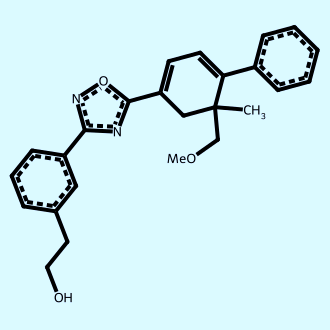 COCC1(C)CC(c2nc(-c3cccc(CCO)c3)no2)=CC=C1c1ccccc1